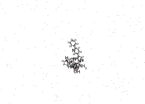 CS(=O)(=O)c1c(C2CC3CC[C@H](C2)N3C(=O)c2nnc(O)[nH]2)nc2c(-c3ccc(-c4ccccc4)nc3)cnn2c1N